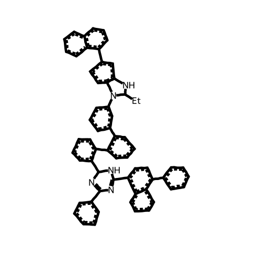 CCC1Nc2cc(-c3cccc4ccccc34)ccc2N1c1cccc(-c2ccccc2-c2ccccc2C2N=C(c3ccccc3)N=C(c3ccc(-c4ccccc4)c4ccccc34)N2)c1